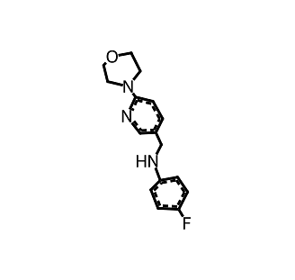 Fc1ccc(NCc2ccc(N3CCOCC3)nc2)cc1